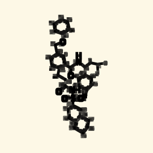 CC(C)CC(NC(=O)c1cc(COc2ccccc2)ccc1CCC(=O)NS(=O)(=O)c1ccc2ccccc2c1)c1ccc(F)cc1